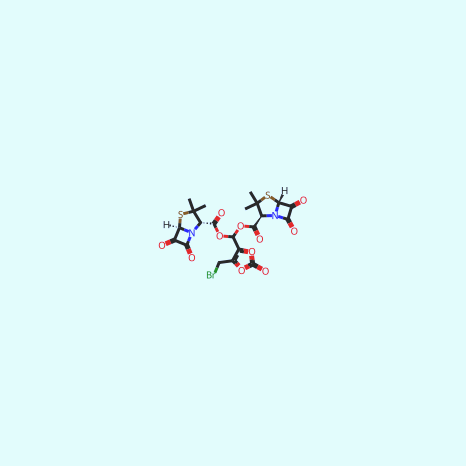 CC1(C)S[C@@H]2C(=O)C(=O)N2[C@H]1C(=O)OC(OC(=O)[C@@H]1N2C(=O)C(=O)[C@H]2SC1(C)C)c1oc(=O)oc1CBr